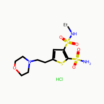 CCNS(=O)(=O)c1cc(CCN2CCOCC2)sc1S(N)(=O)=O.Cl